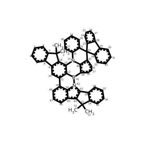 CC1(C)c2ccccc2-c2cc3c4c(c21)N1c2ccccc2C2(c5ccccc5-c5ccccc52)c2cccc(c21)B4n1c2c(c4cccc-3c41)C(C)(C)c1ccccc1-2